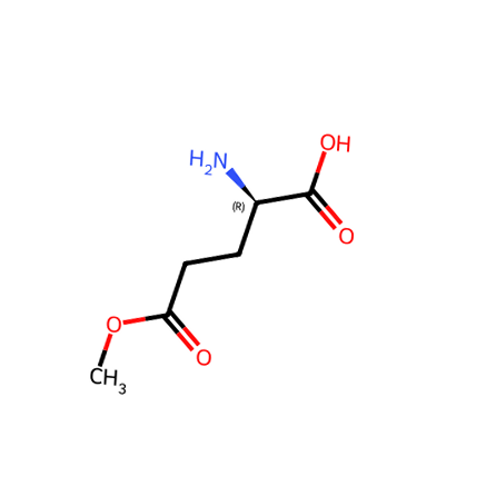 COC(=O)CC[C@@H](N)C(=O)O